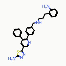 Nc1nnc(-c2cnc(-c3ccc(CNCCCc4ccccc4N)cc3)c(-c3ccccc3)c2)s1